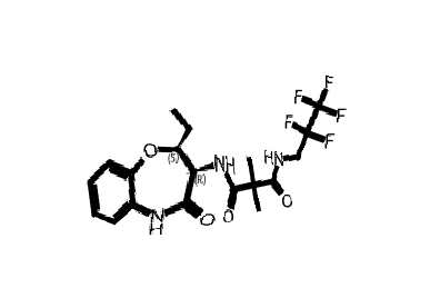 CC[C@@H]1Oc2ccccc2NC(=O)[C@@H]1NC(=O)C(C)(C)C(=O)NCC(F)(F)C(F)(F)F